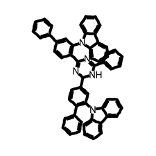 c1ccc(C2=NC(c3ccc(-c4ccccc4)cc3-n3c4ccccc4c4ccccc43)=NC(c3ccc(-c4ccccc4)c(-n4c5ccccc5c5ccccc54)c3)N2)cc1